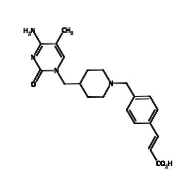 Cc1cn(CC2CCN(Cc3ccc(C=CC(=O)O)cc3)CC2)c(=O)nc1N